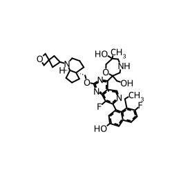 CCc1c(F)ccc2cc(O)cc(-c3ncc4c(C5(CO)CNCC(C)(O)CO5)nc(OC[C@]56CCC[C@H]5N(C5CC7(COC7)C5)CCC6)nc4c3F)c12